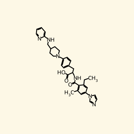 CCc1cc(-n2ccnc2)cc(C)c1C(=O)NC(Cc1ccc(N2CCC(CNc3ccccn3)CC2)cc1)C(=O)O